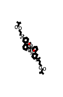 C=C(C)C(=O)OCCC[Si](C)(C)c1ccc([Si](C)(C)O[Si](O[Si](C)(C)c2ccc([Si](C)(C)CCCOC(=O)C(=C)C)cc2)(c2ccccc2)c2ccccc2)cc1